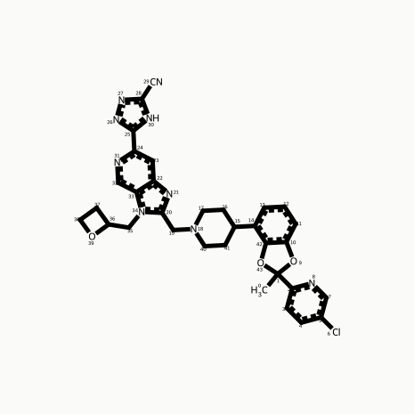 CC1(c2ccc(Cl)cn2)Oc2cccc(C3CCN(Cc4nc5cc(-c6nnc(C#N)[nH]6)ncc5n4CC4CCO4)CC3)c2O1